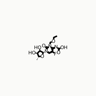 CCOCn1c(=NC(=O)O)c(F)cn([C@@H]2O[C@H](C)[C@@H](O)[C@H]2O)c1=O